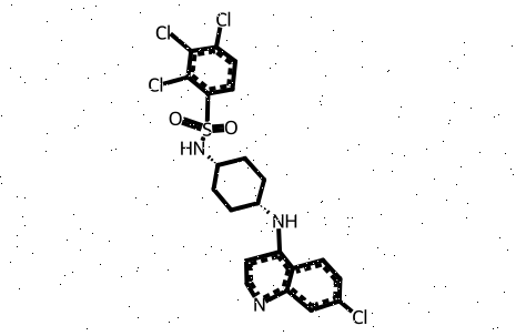 O=S(=O)(N[C@H]1CC[C@@H](Nc2ccnc3cc(Cl)ccc23)CC1)c1ccc(Cl)c(Cl)c1Cl